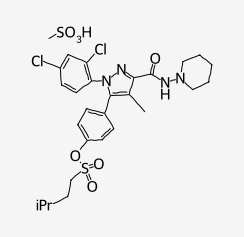 CS(=O)(=O)O.Cc1c(C(=O)NN2CCCCC2)nn(-c2ccc(Cl)cc2Cl)c1-c1ccc(OS(=O)(=O)CCC(C)C)cc1